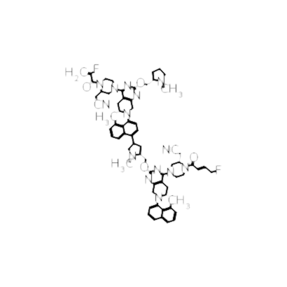 C=C(F)C(=O)N1CCN(c2nc(OC[C@@H]3CCCN3C)nc3c2CCN(c2ccc(C4C[C@@H](COc5nc6c(c(N7CCN(C(=O)/C=C/CF)[C@@H](CC#N)C7)n5)CCN(c5cccc7cccc(C)c57)C6)N(C)C4)c4cccc(C)c24)C3)CC1CC#N